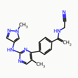 C=C(NCC#N)c1ccc(-c2nc(Nc3cnn(C)c3)ncc2C)cc1